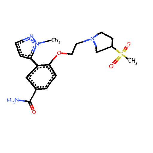 Cn1nccc1-c1cc(C(N)=O)ccc1OCCN1CCC(S(C)(=O)=O)C1